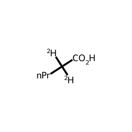 [2H]C([2H])(CCC)C(=O)O